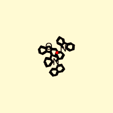 c1ccc(N(c2ccc(-n3c4ccccc4c4ccccc43)cc2)c2cccc3ccccc23)c(-c2cccc3oc4ccccc4c23)c1